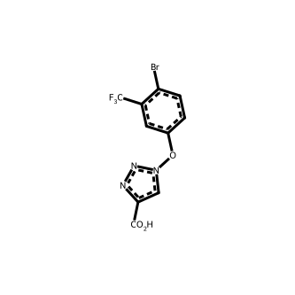 O=C(O)c1cn(Oc2ccc(Br)c(C(F)(F)F)c2)nn1